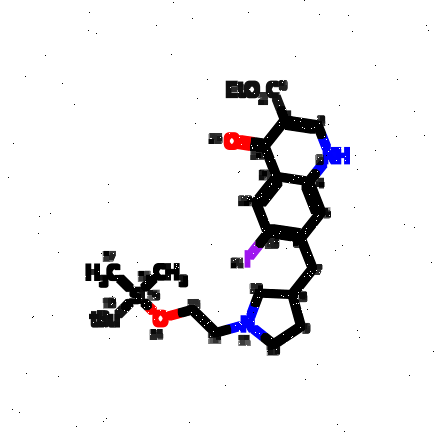 CCOC(=O)c1c[nH]c2cc(CC3CCN(CCO[Si](C)(C)C(C)(C)C)C3)c(I)cc2c1=O